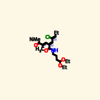 CC/C=C(Cl)/C=C(\C=C(/C)C(=O)NC)C(=O)NCCCC(OCC)OCC